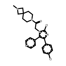 CN1CC2(CCN(C(=O)Cn3c(Cl)nc(-c4ccc(Cl)cc4)c3-c3ccncc3)CC2)C1